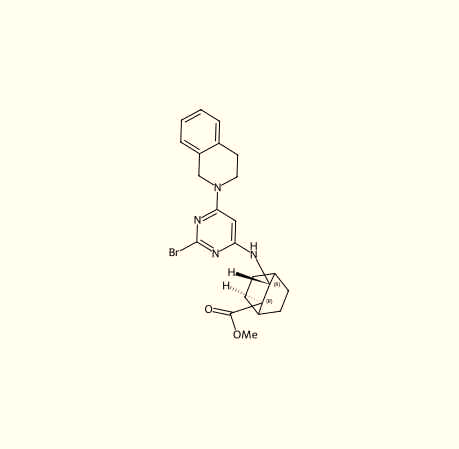 COC(=O)[C@@H]1C2CCC(CC2)[C@H]1Nc1cc(N2CCc3ccccc3C2)nc(Br)n1